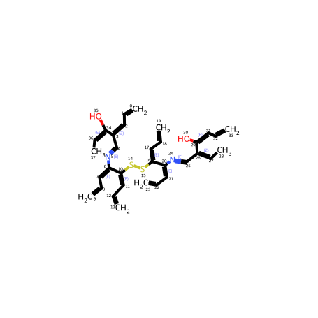 C=C/C=C(/C=N/C(=C/C=C)C(=C\C=C)/SSC(=C/C=C)/C(=C\C=C)/N=C/C(=C/C)C(/O)=C\C=C)C(\O)=C/C